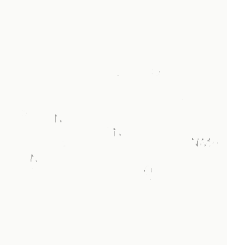 CNC1COCCN(Cc2ncsn2)C1=O